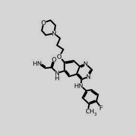 Cc1cc(Nc2ncnc3cc(OCCCN4CCOCC4)c(NC(=O)C=N)cc23)ccc1F